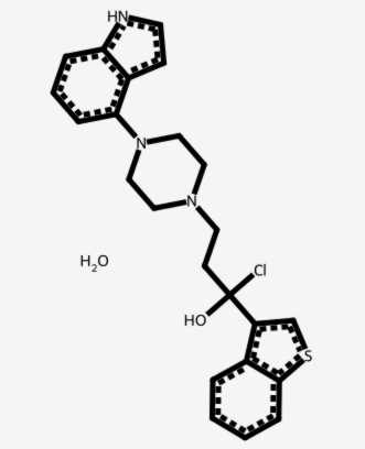 O.OC(Cl)(CCN1CCN(c2cccc3[nH]ccc23)CC1)c1csc2ccccc12